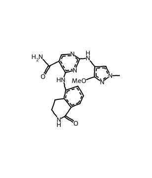 COc1nn(C)cc1Nc1ncc(C(N)=O)c(Nc2cccc3c2CCNC3=O)n1